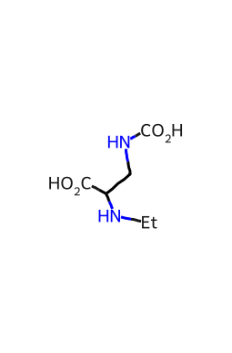 CCNC(CNC(=O)O)C(=O)O